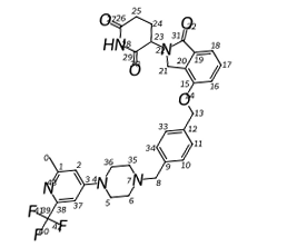 Cc1cc(N2CCN(Cc3ccc(COc4cccc5c4CN(C4CCC(=O)NC4=O)C5=O)cc3)CC2)cc(C(F)(F)F)n1